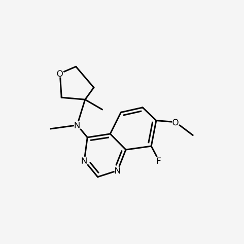 COc1ccc2c(N(C)C3(C)CCOC3)ncnc2c1F